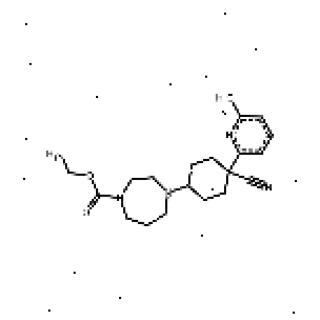 CCOC(=O)N1CCCN(C2CCC(C#N)(c3cccc(C)n3)CC2)CC1